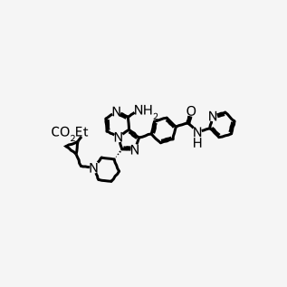 CCOC(=O)C1CC1CN1CCC[C@@H](c2nc(-c3ccc(C(=O)Nc4ccccn4)cc3)c3c(N)nccn23)C1